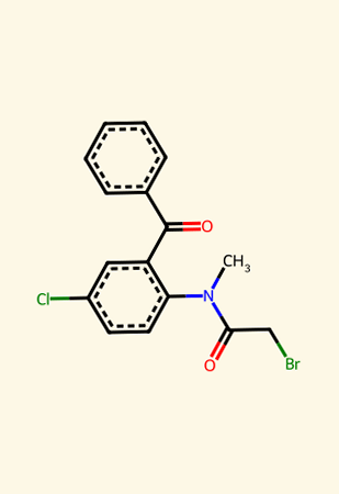 CN(C(=O)CBr)c1ccc(Cl)cc1C(=O)c1ccccc1